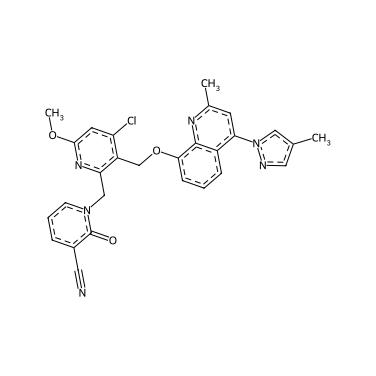 COc1cc(Cl)c(COc2cccc3c(-n4cc(C)cn4)cc(C)nc23)c(Cn2cccc(C#N)c2=O)n1